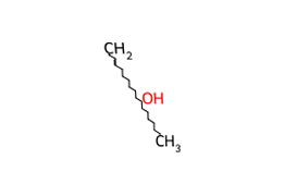 C=C/C=C/CCCCCCC(O)CCCCCCC